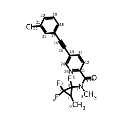 CC1C(F)(F)C1(F)N(C)C(=O)c1ccc(C#Cc2cccc(Cl)c2)cn1